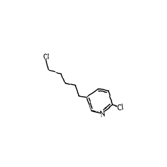 ClCCCCCc1ccc(Cl)nc1